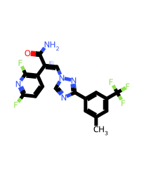 Cc1cc(-c2ncn(/C=C(/C(N)=O)c3ccc(F)nc3F)n2)cc(C(F)(F)F)c1